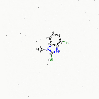 Cn1c(Br)nc2c(F)cccc21